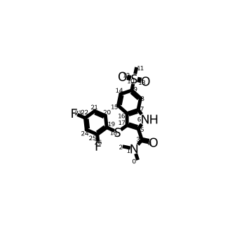 CN(C)C(=O)c1[nH]c2cc(S(C)(=O)=O)ccc2c1Sc1ccc(F)cc1F